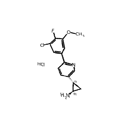 COc1cc(-c2ccc([C@@H]3C[C@H]3N)cn2)cc(Cl)c1F.Cl